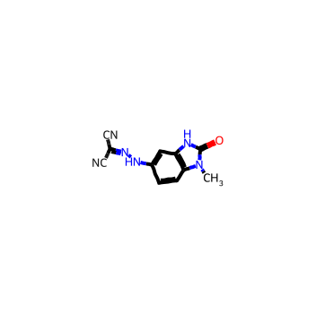 Cn1c(=O)[nH]c2cc(NN=C(C#N)C#N)ccc21